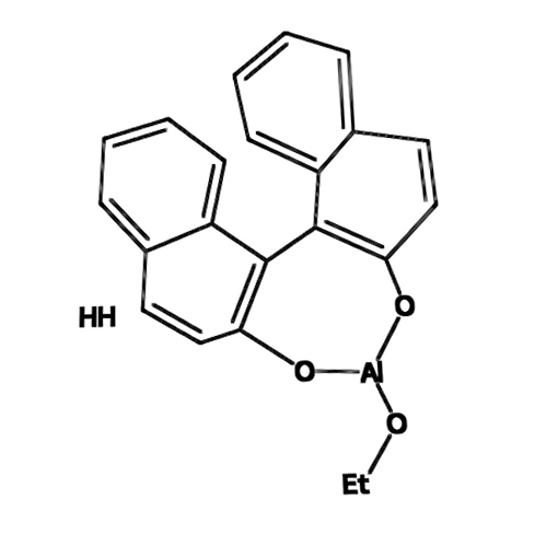 CC[O][Al]1[O]c2ccc3ccccc3c2-c2c(ccc3ccccc23)[O]1.[HH]